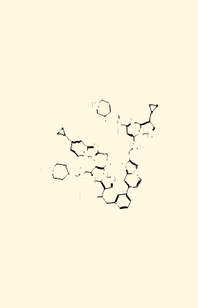 CC(Cc1cccc(-c2ccn3cc(CNc4cc(NC[C@H]5CCNC[C@@H]5O)nc5c(C6CC6)cnn45)nc3c2)c1)c1cnn2c(NCc3nc4cc(C5CC5)ccn4n3)cc(NC[C@H]3CCNC[C@@H]3O)nc12